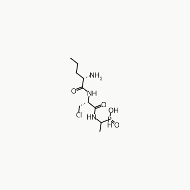 CCC[C@H](N)C(=O)N[C@@H](CCl)C(=O)NC(C)[PH](=O)O